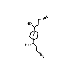 N#CCCC(O)C12CCC(C(O)CCC#N)(CC1)CC2